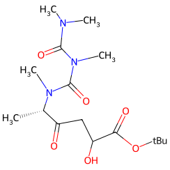 C[C@@H](C(=O)CC(O)C(=O)OC(C)(C)C)N(C)C(=O)N(C)C(=O)N(C)C